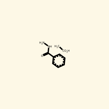 CC(=O)O.NNC(=O)c1ccccc1